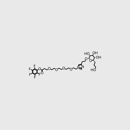 O=C(CCOCCOCCOCCOCCn1cc(CCO[C@H]2O[C@H](CCCO)[C@@H](O)[C@H](O)[C@@H]2O)nn1)Oc1c(F)c(F)c(F)c(F)c1F